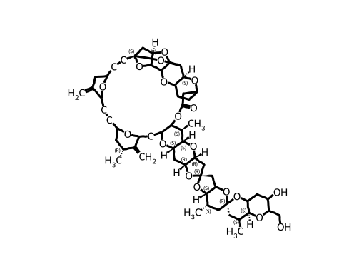 C=C1CC2CC[C@@]34C[C@H]5OC6C(OC7CCC(CC(=O)OC8C(CC9OC(CCC1O2)C[C@@H](C)C9=C)O[C@H]1C[C@H]2O[C@]9(CC%10O[C@]%11(C[C@H](C)[C@@H]%12OC(CO)C(O)CC%12O%11)C[C@H](C)[C@@H]%10O9)C[C@H]2O[C@H]1[C@@H]8C)O[C@@H]7C6O3)C5O4